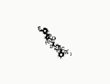 O=C(NCC(=O)N1CCN(C(=O)c2ccccc2C(F)(F)F)CC1)c1ccc(-c2cccc(CF)c2)o1